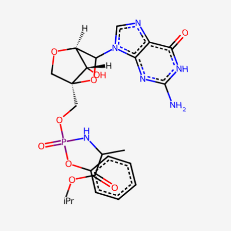 CC(C)OC(=O)C(C)NP(=O)(OC[C@@]12CO[C@@H](C(n3cnc4c(=O)[nH]c(N)nc43)O1)[C@@H]2O)Oc1ccccc1